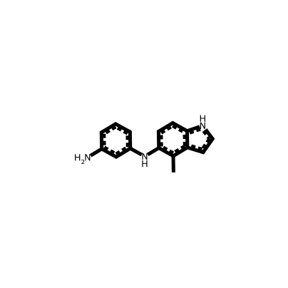 Cc1c(Nc2cccc(N)c2)ccc2[nH]ccc12